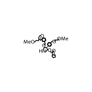 COCCCN1CCOc2ccc(CO[C@H]3CNC[C@@H](OCC(=O)N4CCCC4)[C@@H]3c3ccc(COCCOC)cc3)cc21